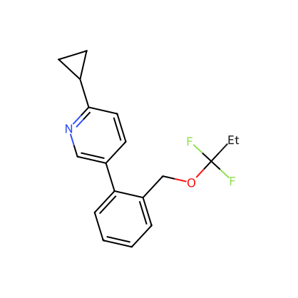 CCC(F)(F)OCc1ccccc1-c1ccc(C2CC2)nc1